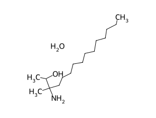 CCCCCCCCCCCCC(C)(N)C(C)O.O